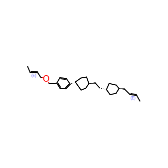 C/C=C/COCc1ccc([C@H]2CC[C@H](CC[C@H]3CC[C@H](C/C=C/C)CC3)CC2)cc1